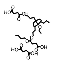 CCCCC(CC)(CC)C(CCCC)(CCCC)OCC.CCCCOC(=O)CCC(=O)O.O=C(O)CCC(=O)O.O=C(O)CCC(=O)O